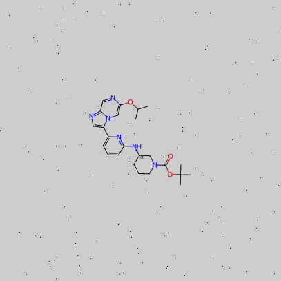 CC(C)Oc1cn2c(-c3cccc(N[C@@H]4CCCN(C(=O)OC(C)(C)C)C4)n3)cnc2cn1